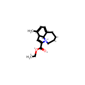 CCOC(=O)C1=CC2C(C)=CC=C3CCCCN1C32